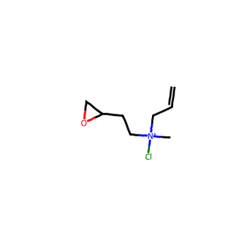 C=CC[N+](C)(Cl)CCC1CO1